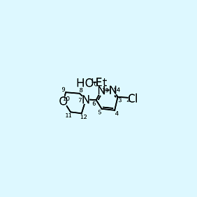 CCO.Clc1ccc(N2CCOCC2)nn1